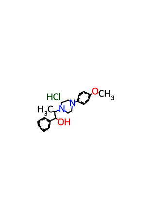 COc1ccc(N2CCN(C(C)C(O)c3ccccc3)CC2)cc1.Cl